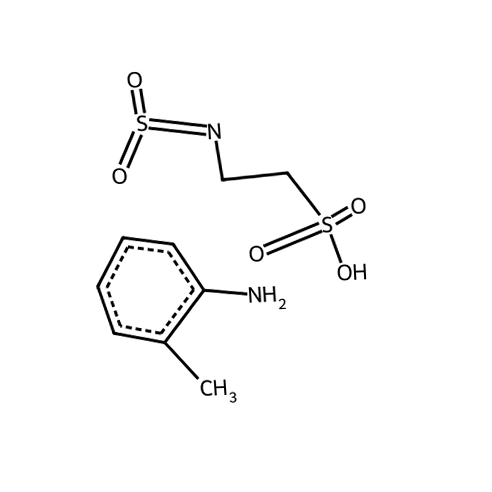 Cc1ccccc1N.O=S(=O)=NCCS(=O)(=O)O